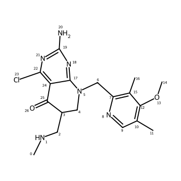 CNCC1CN(Cc2ncc(C)c(OC)c2C)c2nc(N)nc(Cl)c2C1=O